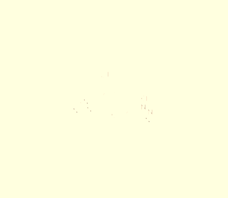 C#Cc1ccc(Oc2ccc3nnn(C)c3c2)c(Cn2cncn2)c1